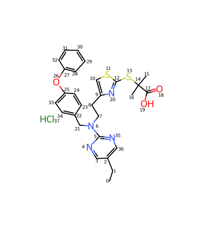 CCc1cnc(N(CCc2csc(SC(C)(C)C(=O)O)n2)Cc2ccc(Oc3ccccc3)cc2)nc1.Cl